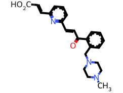 CN1CCN(Cc2ccccc2C(=O)/C=C/c2cccc(/C=C/C(=O)O)n2)CC1